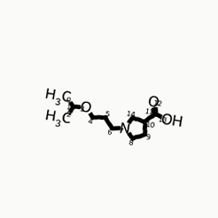 CC(C)OCCCN1CCC(C(=O)O)C1